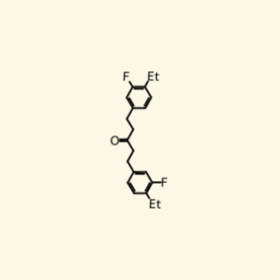 CCc1ccc(CCC(=O)CCc2ccc(CC)c(F)c2)cc1F